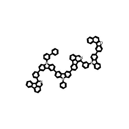 c1ccc(-c2cccc(-n3c4ccc(-c5cccc(-c6ncc7cccc8c7c6-c6ccccc6-8)c5)cc4c4cc(-c5ccc6c(c5)c5cc(-c7ccc8c(c7)-c7cccc9cnc(-c%10cccc(-n%11c%12ccccc%12c%12cc(-c%13ccc%14oc%15ccc%16ccccc%16c%15c%14c%13)ccc%12%11)c%10)c-8c79)ccc5n6-c5ccccc5)ccc43)c2)cc1